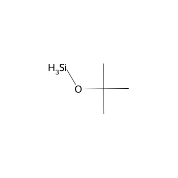 CC(C)(C)O[SiH3]